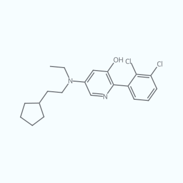 CCN(CCC1CCCC1)c1cnc(-c2cccc(Cl)c2Cl)c(O)c1